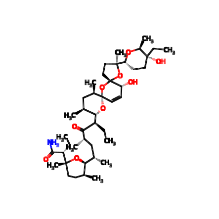 CC[C@@H](C(=O)[C@@H](C)C[C@H](C)[C@@H]1O[C@@](C)([C@@H](CC)C(N)=O)CC[C@@H]1C)[C@H]1O[C@]2(C=C[C@@H](O)[C@]3(CC[C@@](C)([C@H]4CC[C@](O)(CC)[C@H](C)O4)O3)O2)[C@H](C)C[C@@H]1C